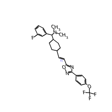 CN(C)C(c1cccc(F)c1)C1CCC(/C=C/c2nc(-c3ccc(OC(F)(F)F)cc3)no2)CC1